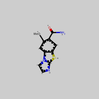 COc1cc2c(cc1C(N)=O)sc1nccn12